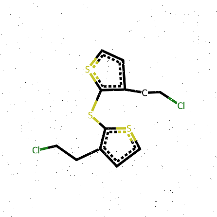 ClCCc1ccsc1Sc1sccc1CCCl